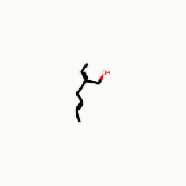 CC=CCC(=CC)CO